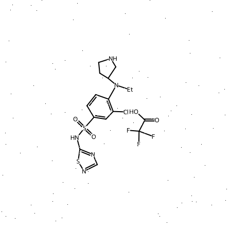 CCN(c1ccc(S(=O)(=O)Nc2ncns2)cc1Cl)C1CCNC1.O=C(O)C(F)(F)F